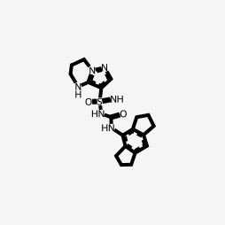 N=S(=O)(NC(=O)Nc1c2c(cc3c1CCC3)CCC2)c1cnn2c1NCCC2